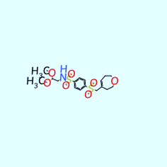 COC(CNS(=O)(=O)c1ccc(S(=O)(=O)CC2=CCCOCC2)cc1)OC